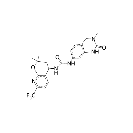 CN1Cc2ccc(NC(=O)N[C@@H]3CC(C)(C)Oc4nc(C(F)(F)F)ccc43)cc2NC1=O